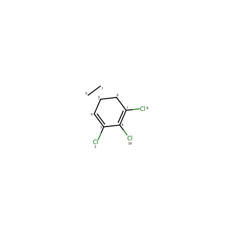 CC.ClC1=C[CH]CC(Cl)=C1Cl